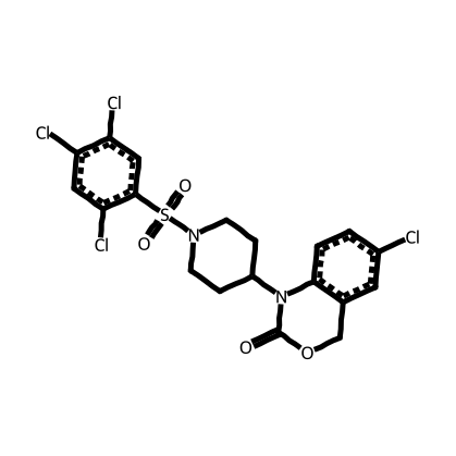 O=C1OCc2cc(Cl)ccc2N1C1CCN(S(=O)(=O)c2cc(Cl)c(Cl)cc2Cl)CC1